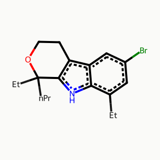 CCCC1(CC)OCCc2c1[nH]c1c(CC)cc(Br)cc21